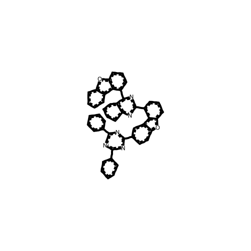 c1ccc(-c2nc(-c3ccccc3)nc(-c3ccc4oc5cccc(-c6nc(-c7cccc8oc9ccccc9c78)c7ccccc7n6)c5c4c3)n2)cc1